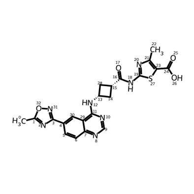 Cc1nc(-c2ccc3ncnc(N[C@H]4C[C@@H](C(=O)Nc5nc(C)c(C(=O)O)s5)C4)c3c2)no1